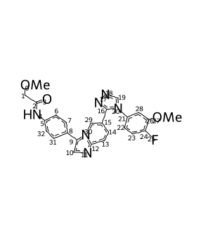 COCC(=O)Nc1ccc(-c2cnc3ccc(-c4nncn4-c4ccc(F)c(OC)c4)cn23)cc1